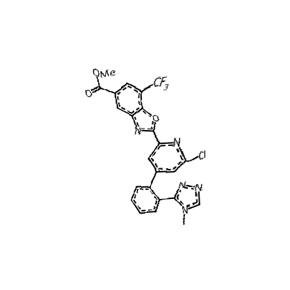 COC(=O)c1cc(C(F)(F)F)c2oc(-c3cc(-c4ccccc4-c4nncn4C)cc(Cl)n3)nc2c1